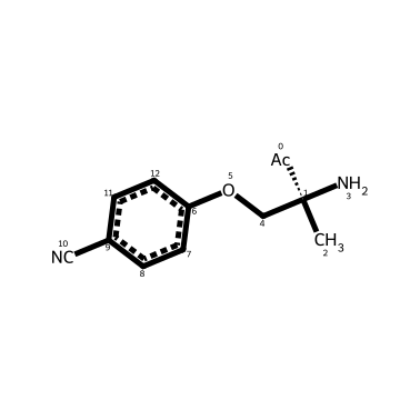 CC(=O)[C@@](C)(N)COc1ccc(C#N)cc1